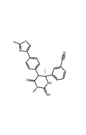 Cc1nc(-c2ccc(C3C(=O)N(C)C(=N)N[C@]3(C)c3cccc(C#N)c3)cc2)cs1